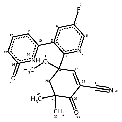 COC1(c2ncc(F)cc2-c2cccc(=O)[nH]2)C=C(C#N)C(=O)C(C)(C)C1